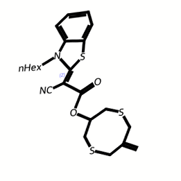 C=C1CSCC(OC(=O)/C(C#N)=C2\Sc3ccccc3N2CCCCCC)CSC1